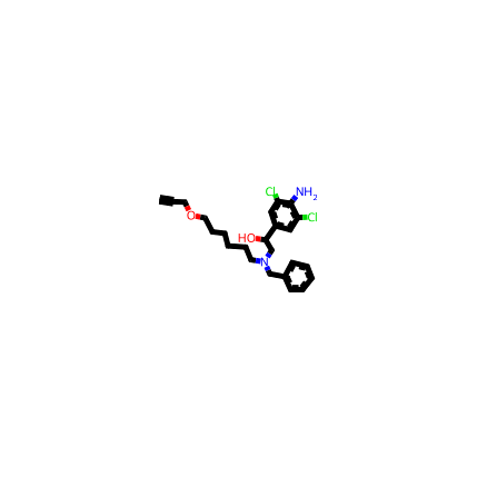 C#CCOCCCCCCN(Cc1ccccc1)CC(O)c1cc(Cl)c(N)c(Cl)c1